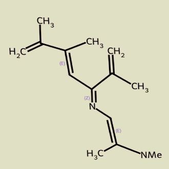 C=C(C)C(/C=C(\C)C(=C)C)=N\C=C(/C)NC